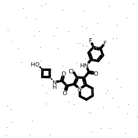 O=C(N[C@H]1C[C@H](O)C1)C(=O)c1c(Cl)c(C(=O)Nc2ccc(F)c(F)c2)c2n1CCCC2